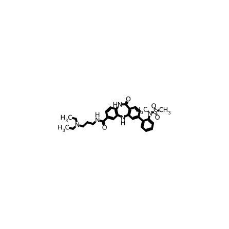 CCN(CC)CCCNC(=O)c1ccc2c(c1)Nc1cc(-c3ccccc3N(C)S(C)(=O)=O)ccc1C(=O)N2